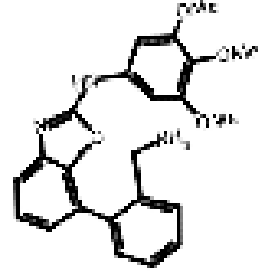 COc1cc(Nc2nc3cccc(-c4ccccc4CN)c3o2)cc(OC)c1OC